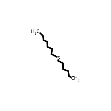 CCCCCC[CH]SCCCCCC